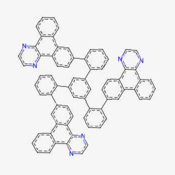 c1ccc(-c2ccc3c(c2)c2ccccc2c2nccnc32)c(-c2cc(-c3ccccc3-c3ccc4c(c3)c3ccccc3c3nccnc43)cc(-c3ccccc3-c3ccc4c(c3)c3ccccc3c3nccnc43)c2)c1